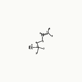 CCC(C)(C)CCN=C(C)C